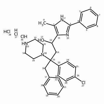 Cc1[nH]c(-c2ccccc2)nc1C(O)CC(Cc1ccccc1)(c1ccc(Cl)cc1)N1CCNCC1.Cl.Cl.Cl